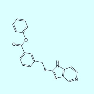 O=C(Oc1ccccc1)c1cccc(CSc2nc3cnccc3[nH]2)c1